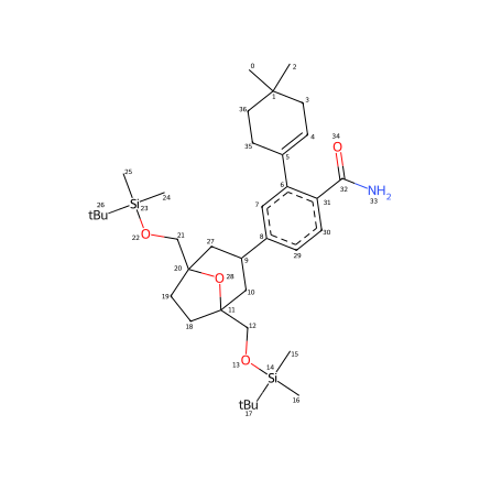 CC1(C)CC=C(c2cc(C3CC4(CO[Si](C)(C)C(C)(C)C)CCC(CO[Si](C)(C)C(C)(C)C)(C3)O4)ccc2C(N)=O)CC1